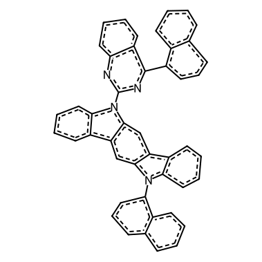 c1ccc2c(-c3nc(-n4c5ccccc5c5cc6c(cc54)c4ccccc4n6-c4cccc5ccccc45)nc4ccccc34)cccc2c1